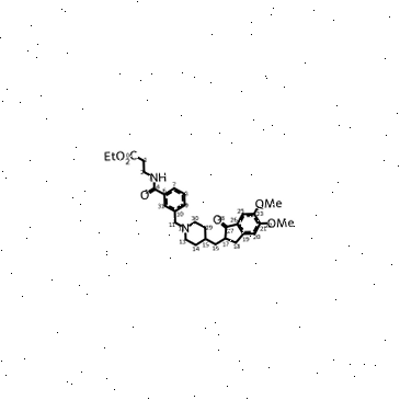 CCOC(=O)CCNC(=O)c1cccc(CN2CCC(CC3Cc4cc(OC)c(OC)cc4C3=O)CC2)c1